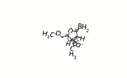 B[C@@H]1O[C@@]2(COC)C[S+]([O-])[C@@H]1[C@@H]2OC